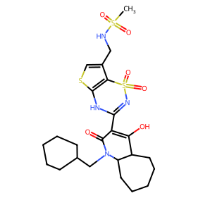 CS(=O)(=O)NCc1csc2c1S(=O)(=O)N=C(C1=C(O)C3CCCCCC3N(CC3CCCCC3)C1=O)N2